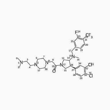 CN(C)CCN1CCN(CC(=O)N2CC(N(C)Cc3ccc(C(F)(F)F)c(F)c3)[C@@H](c3ccc(Cl)c(Cl)c3)C2)CC1